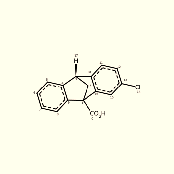 O=C(O)C12C[C@H](c3ccccc31)c1ccc(Cl)cc12